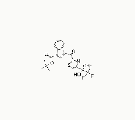 CC(C)(C)OC(=O)n1cc(C(=O)c2nc(C(O)(O)C(F)(F)F)cs2)c2ccccc21